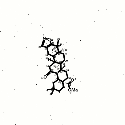 COC(=O)[C@]12CCC(C)(C)CC1C1C(=O)C[C@@H]3[C@@]4(C)Cc5cnoc5C(C)(C)[C@@H]4CC[C@@]3(C)[C@]1(C)CC2